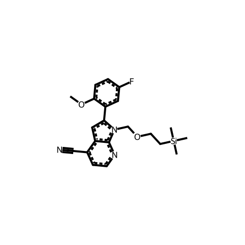 COc1ccc(F)cc1-c1cc2c(C#N)ccnc2n1COCC[Si](C)(C)C